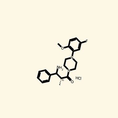 COc1ccc(F)cc1N1CCN(C(=O)[C@H](C)C(N)c2ccccc2)CC1.Cl